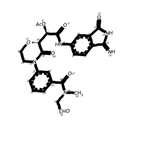 CC(=O)O[C@@H](C(=O)Nc1ccc2c(c1)C(=O)NC2=N)[C@H]1OCCN(c2cccc(C(=O)N(C)CC=O)c2)C1=O